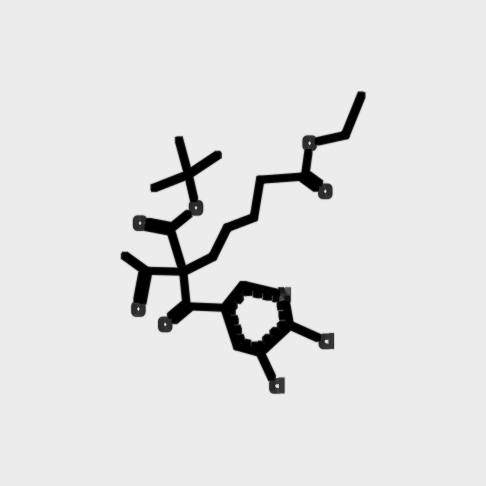 CCOC(=O)CCCCC(C(C)=O)(C(=O)OC(C)(C)C)C(=O)c1cnc(Cl)c(Cl)c1